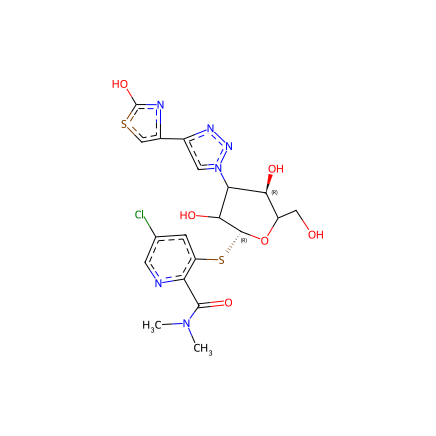 CN(C)C(=O)c1ncc(Cl)cc1S[C@H]1OC(CO)[C@H](O)C(n2cc(-c3csc(O)n3)nn2)C1O